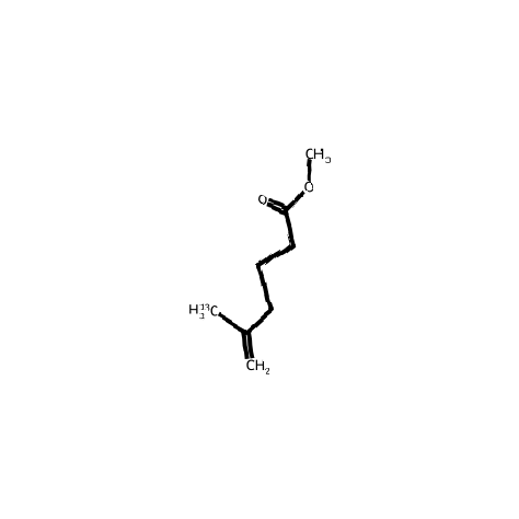 C=C([13CH3])CCCC(=O)OC